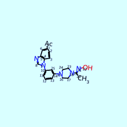 CC(=O)c1ccc2c(c1)ncn2-c1cccc(N2CCN(C(C)=NO)CC2)c1